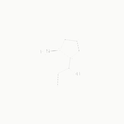 CCC(O)C1CCCC1N